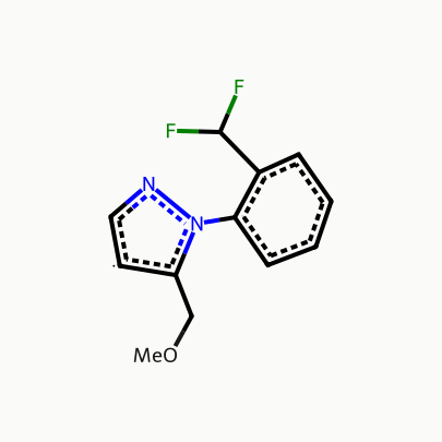 COCc1[c]cnn1-c1ccccc1C(F)F